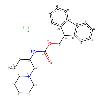 Cl.O=C(O)CC(CN1CCCCC1)NC(=O)OCC1c2ccccc2-c2ccccc21